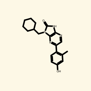 Cc1cc(O)ccc1-c1cnc2[nH]c(=O)n(CC3CCCCC3)c2n1